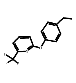 CCc1ccc(Oc2cccc(C(F)(F)F)n2)cc1